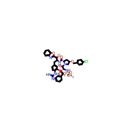 COc1cc(CC(NC(=O)[C@@H]2C[C@@H](OCc3ccc(Cl)cc3)CN2C(=O)[C@@H](CCc2ccccc2)NS(C)(=O)=O)C(=O)c2nc3ccccc3o2)ccc1NC(=N)N